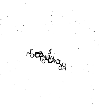 CCCSc1nc(N2CCC(C(=O)O)C2)ccc1C(=O)N[C@H]1C2CC3CC1C[C@](OC(F)F)(C3)C2